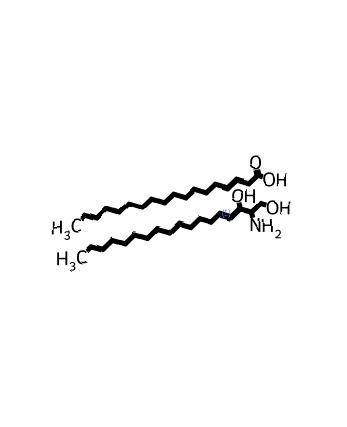 CCCCCCCCCCCCC/C=C/C(O)C(N)CO.CCCCCCCCCCCCCCCCCC(=O)O